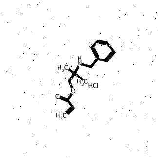 C=CC(=O)OCC(C)(C)NCc1ccccc1.Cl